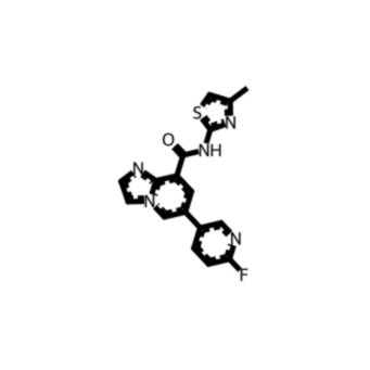 Cc1csc(NC(=O)c2cc(-c3ccc(F)nc3)cn3ccnc23)n1